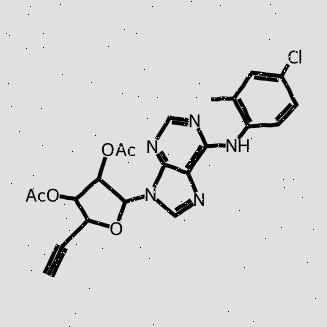 C#CC1OC(n2cnc3c(Nc4ccc(Cl)cc4C)ncnc32)C(OC(C)=O)C1OC(C)=O